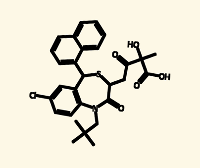 CC(C)(C)CN1C(=O)C(CC(=O)C(C)(O)C(=O)O)SC(c2cccc3ccccc23)c2cc(Cl)ccc21